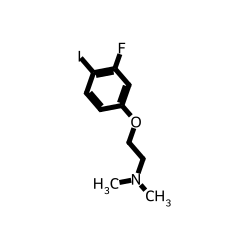 CN(C)CCOc1ccc(I)c(F)c1